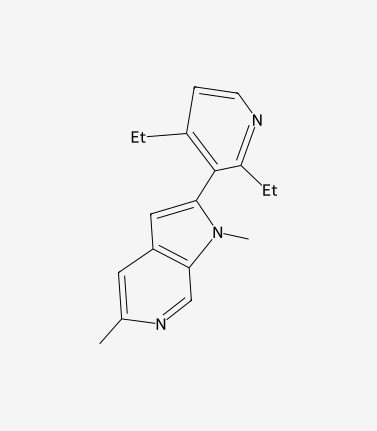 CCc1ccnc(CC)c1-c1cc2cc(C)ncc2n1C